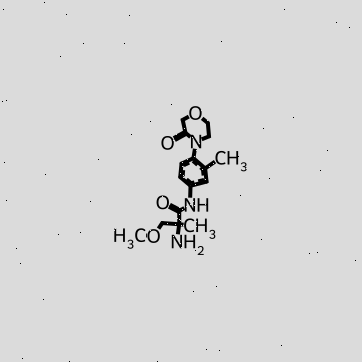 COCC(C)(N)C(=O)Nc1ccc(N2CCOCC2=O)c(C)c1